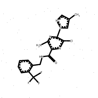 Cc1cnn(-c2nc(N)c(C(=O)NCc3ccccc3C(F)(F)F)nc2Cl)c1